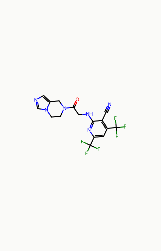 N#Cc1c(C(F)(F)F)cc(C(F)(F)F)nc1NCC(=O)N1CCn2cncc2C1